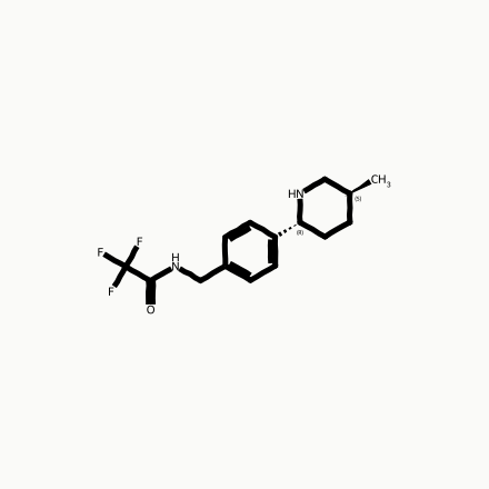 C[C@H]1CC[C@H](c2ccc(CNC(=O)C(F)(F)F)cc2)NC1